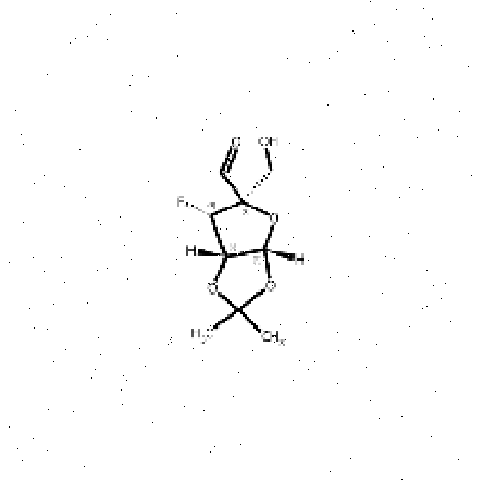 CC1(C)O[C@H]2O[C@@](C=O)(CO)[C@@H](F)[C@H]2O1